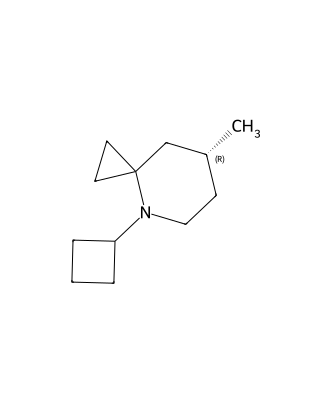 C[C@@H]1CCN(C2CCC2)C2(CC2)C1